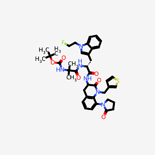 CC(C)(C)OC(=O)NC(C)(C)C(=O)N[C@H](Cc1cn(CCF)c2ccccc12)C(=O)NC1Cc2cccc(N3CCCC3=O)c2N(Cc2ccsc2)C1=O